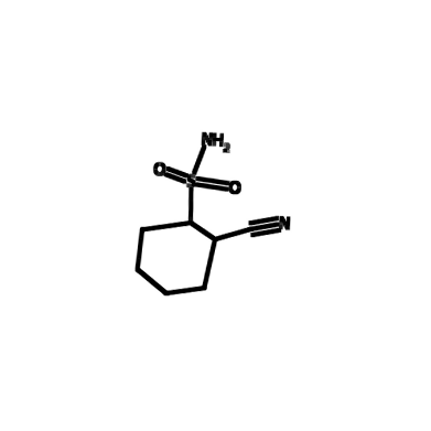 N#CC1CCCCC1S(N)(=O)=O